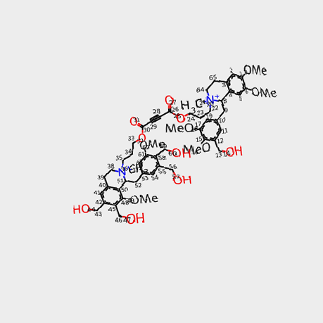 COc1cc2c(cc1OC)C(Cc1cc(CO)c(OC)c(OC)c1)[N+](C)(CCCOC(=O)C#CC(=O)OCCC[N+]1(C)CCc3cc(CO)c(CO)c(OC)c3C1Cc1cc(CO)c(CO)c(OC)c1)CC2